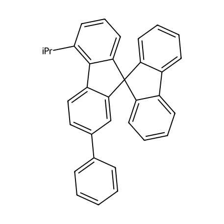 CC(C)c1cccc2c1-c1ccc(-c3ccccc3)cc1C21c2ccccc2-c2ccccc21